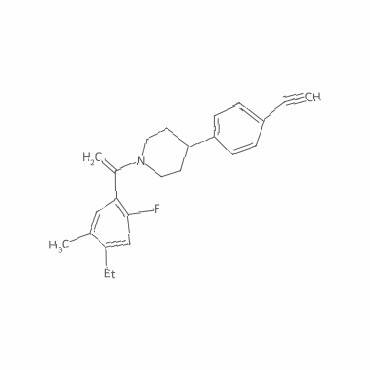 C#Cc1ccc(C2CCN(C(=C)c3cc(C)c(CC)cc3F)CC2)cc1